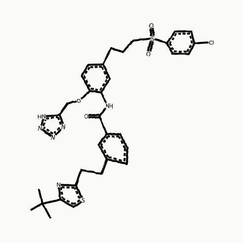 CC(C)(C)c1csc(CCc2cccc(C(=O)Nc3cc(CCCS(=O)(=O)c4ccc(Cl)cc4)ccc3OCc3nnn[nH]3)c2)n1